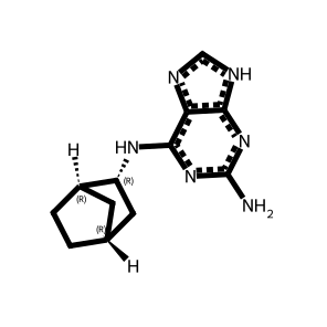 Nc1nc(N[C@@H]2C[C@@H]3CC[C@@H]2C3)c2nc[nH]c2n1